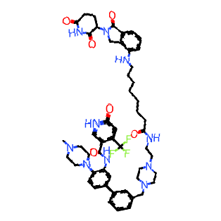 CN1CCN(c2ccc(-c3cccc(CN4CCN(CCNC(=O)CCCCCCCNc5cccc6c5CN(C5CCC(=O)NC5=O)C6=O)CC4)c3)cc2NC(=O)c2c[nH]c(=O)cc2C(F)(F)F)CC1